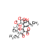 CCCC(=O)CC(=O)O.CCCC(=O)c1c(O)c(CC)c(CCC)oc1=O